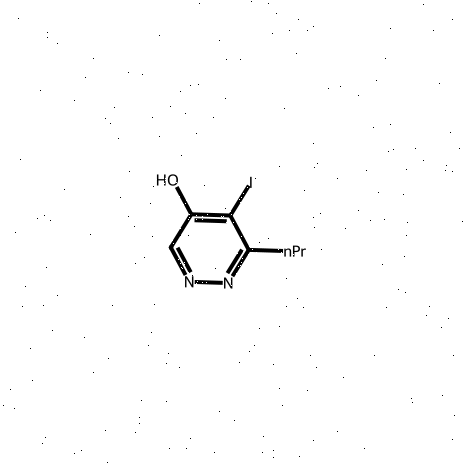 CCCc1nncc(O)c1I